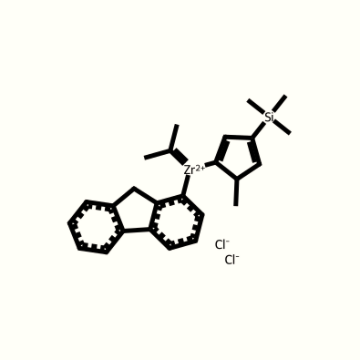 C[C](C)=[Zr+2]([C]1=CC([Si](C)(C)C)=CC1C)[c]1cccc2c1Cc1ccccc1-2.[Cl-].[Cl-]